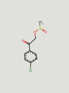 O=C(COS(=O)C(F)(F)F)c1ccc(Cl)cc1